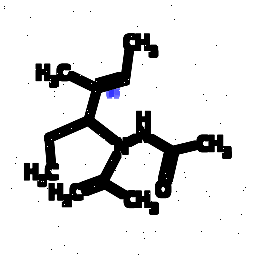 C=C(C)N(NC(C)=O)C(CC)/C(C)=C/C